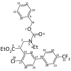 CCOC(=O)C(CN(CC)C(=O)OCc1ccccc1)c1cc(-c2ccc(C(F)(F)F)cc2)ccc1Cl